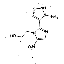 NN1NSC=C1c1ncc([N+](=O)[O-])n1CCO